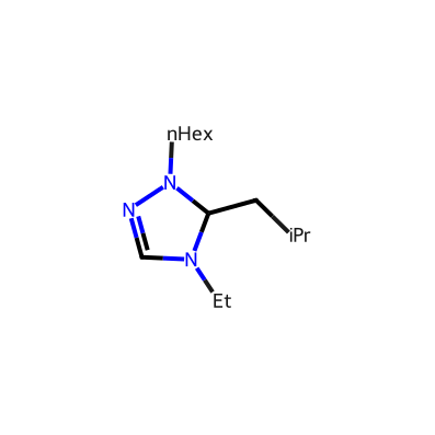 CCCCCCN1N=CN(CC)C1CC(C)C